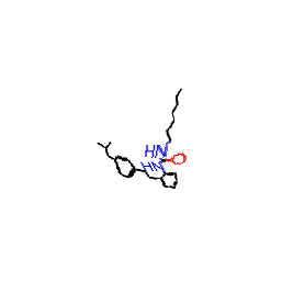 CCCCCCCNC(=O)Nc1ccccc1CCc1ccc(CC(C)C)cc1